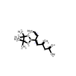 C=C(/C=C(\C=C/C)B1OC(C)(C)C(C)(C)O1)CC(=O)O